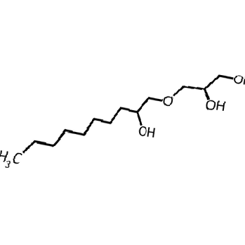 CCCCCCCCC(O)COCC(O)CO